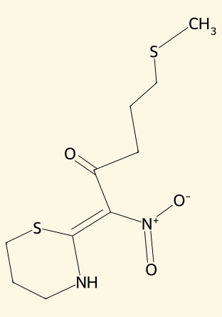 CSCCCC(=O)/C(=C1/NCCCS1)[N+](=O)[O-]